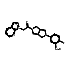 COc1cc(N2CC3CN(C(=O)Cn4ncc5cccnc54)CC3C2)ccc1Cl